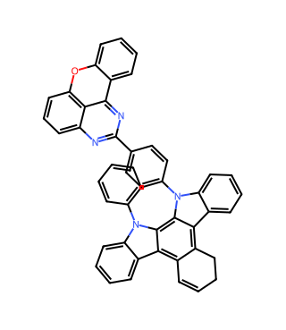 C1=Cc2c(c3c4ccccc4n(-c4ccc(-c5nc6c7c(cccc7n5)Oc5ccccc5-6)cc4)c3c3c2c2ccccc2n3-c2ccccc2)CC1